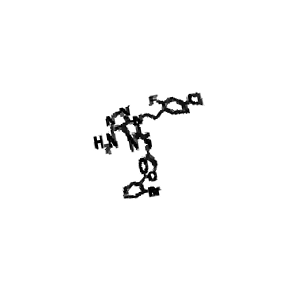 Nc1ncnc2c1nc(SC1=COC(c3ccccc3Br)O1)n2CCc1ccc(Cl)cc1F